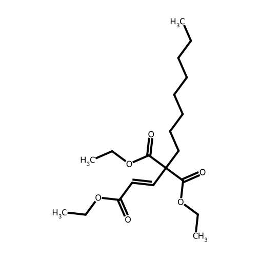 CCCCCCCCC(C=CC(=O)OCC)(C(=O)OCC)C(=O)OCC